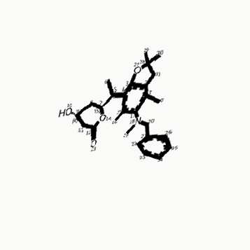 Cc1c2c(c(C(C)[C@@H]3C[C@@H](O)CC(=O)O3)c(C)c1N(C)Cc1ccccc1)OC(C)(C)C2